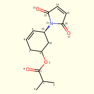 CC(C)C(=O)OC1CC=C[C@@H](N2C(=O)C=CC2=O)C1